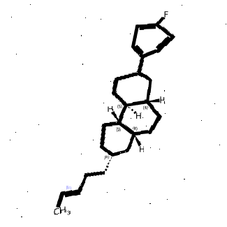 C/C=C/CC[C@@H]1CC[C@H]2[C@H](CC[C@H]3CC(c4ccc(F)cc4)CC[C@@H]32)C1